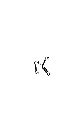 CO.O=[CH][Fe]